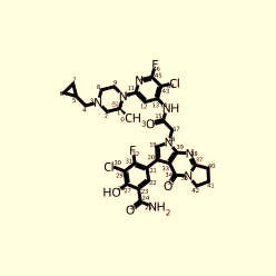 C[C@H]1CN(CC2CC2)CCN1c1cc(NC(=O)Cn2cc(-c3cc(C(N)=O)c(O)c(Cl)c3F)c3c(=O)n4c(nc32)CCC4)c(Cl)c(F)n1